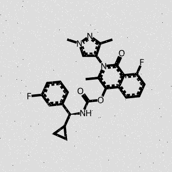 Cc1nn(C)cc1-n1c(C)c(OC(=O)N[C@H](c2cccc(F)c2)C2CC2)c2cccc(F)c2c1=O